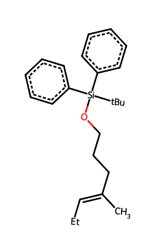 CCC=C(C)CCCO[Si](c1ccccc1)(c1ccccc1)C(C)(C)C